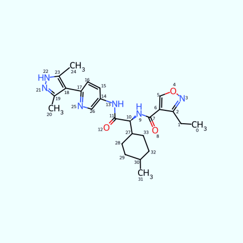 CCc1nocc1C(=O)N[C@H](C(=O)Nc1ccc(-c2c(C)n[nH]c2C)nc1)C1CCC(C)CC1